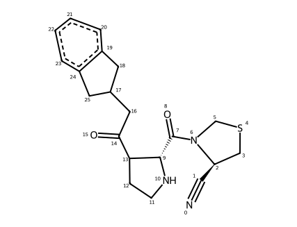 N#C[C@@H]1CSCN1C(=O)[C@@H]1NCCC1C(=O)CC1Cc2ccccc2C1